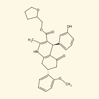 COc1ccccc1[C@H]1CC(=O)C2=C(C1)NC(C)=C(C(=O)OCC1CCCO1)[C@H]2c1cccc(O)c1